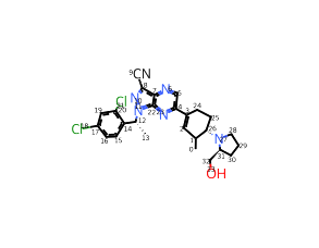 CC1C=C(c2cnc3c(C#N)nn([C@H](C)c4ccc(Cl)cc4Cl)c3n2)CC[C@@H]1N1CCC[C@H]1CO